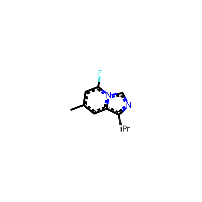 Cc1cc(F)n2cnc(C(C)C)c2c1